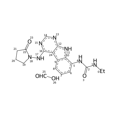 CCNC(=O)Nc1cccc2c1[nH]c1ncnc(NN3CCCC3=O)c12.O=CO